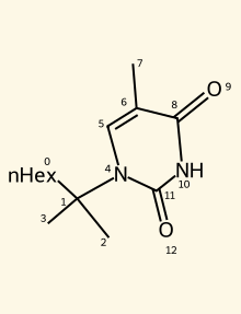 CCCCCCC(C)(C)n1cc(C)c(=O)[nH]c1=O